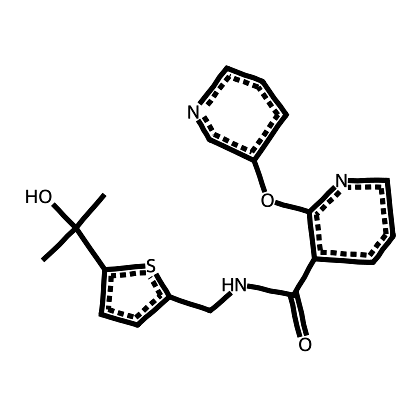 CC(C)(O)c1ccc(CNC(=O)c2cccnc2Oc2cccnc2)s1